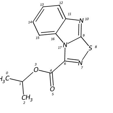 CC(C)OC(=O)c1nsc2nc3ccccc3n12